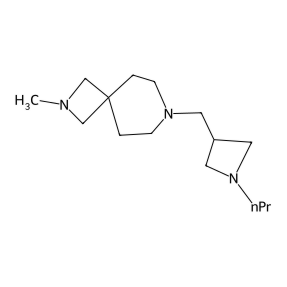 CCCN1CC(CN2CCC3(CC2)CN(C)C3)C1